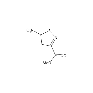 COC(=O)C1=NSC([N+](=O)[O-])C1